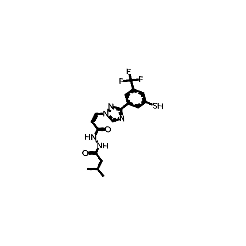 CC(C)CC(=O)NNC(=O)/C=C\n1cnc(-c2cc(S)cc(C(F)(F)F)c2)n1